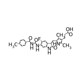 Cc1ccc(C(=O)NC(=O)Nc2cc3c(cc2F)/C(=C/c2[nH]c(C)c(CCC(=O)O)c2C)C(=O)N3)cc1